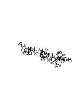 COC(=O)C(CCSC)NC(=O)CCCCNC(=O)C(Cc1ccc(Nc2ccccc2C(=O)O)c(C(C)C)c1)NC(C)=O